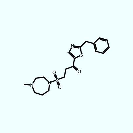 CN1CCCN(S(=O)(=O)CCC(=O)c2[c]nc(Cc3ccccc3)s2)CC1